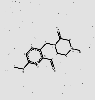 CNc1ccc(CN2CCN(C)CC2=O)c(C=O)n1